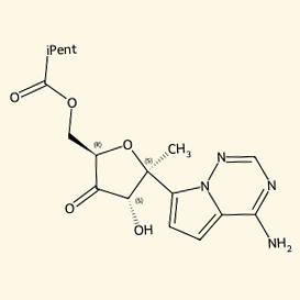 CCCC(C)C(=O)OC[C@H]1O[C@@](C)(c2ccc3c(N)ncnn23)[C@H](O)C1=O